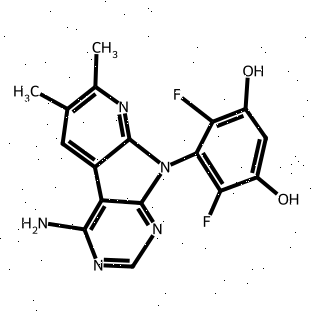 Cc1cc2c3c(N)ncnc3n(-c3c(F)c(O)cc(O)c3F)c2nc1C